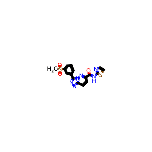 CS(=O)(=O)c1cccc(-c2nnc3ccc(C(=O)Nc4nccs4)nn23)c1